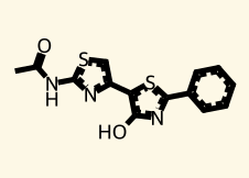 CC(=O)Nc1nc(-c2sc(-c3ccccc3)nc2O)cs1